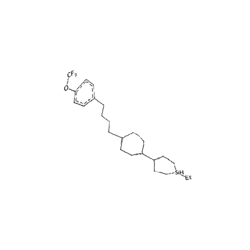 CC[SiH]1CCC(C2CCC(CCCCc3ccc(OC(F)(F)F)cc3)CC2)CC1